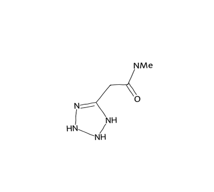 CNC(=O)CC1=NNNN1